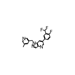 Cc1cncc(Cn2ncc3ncc(-c4ccc(F)c(C(F)F)c4)cc32)c1